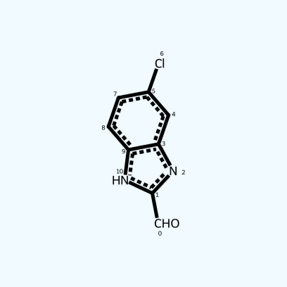 O=Cc1nc2cc(Cl)ccc2[nH]1